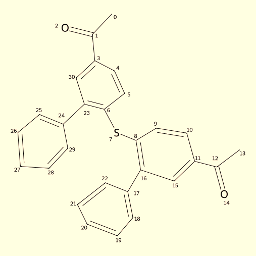 CC(=O)c1ccc(Sc2ccc(C(C)=O)cc2-c2ccccc2)c(-c2ccccc2)c1